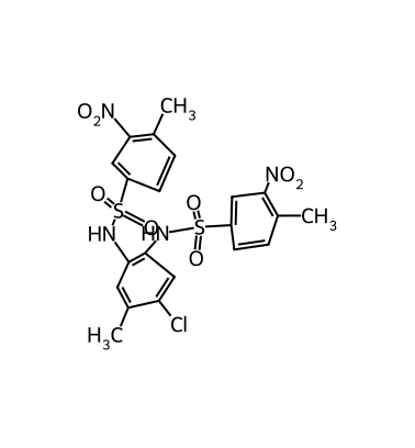 Cc1cc(NS(=O)(=O)c2ccc(C)c([N+](=O)[O-])c2)c(NS(=O)(=O)c2ccc(C)c([N+](=O)[O-])c2)cc1Cl